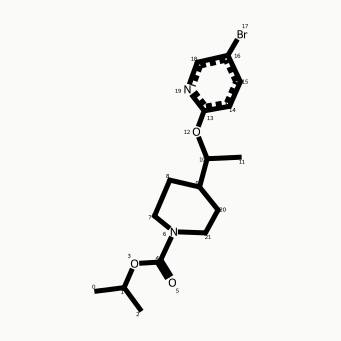 CC(C)OC(=O)N1CCC(C(C)Oc2ccc(Br)cn2)CC1